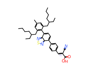 CCCCC(CC)Cc1cc(C)cc(CC(CC)CCCC)c1-c1ccc(-c2ccc(/C=C(\C#N)C(=O)O)cc2)c2nsnc12